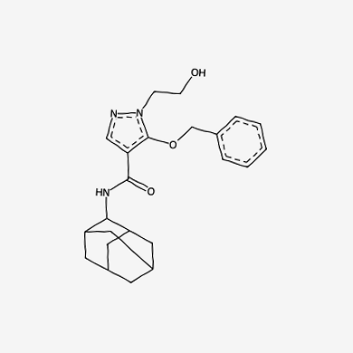 O=C(NC1C2CC3CC(C2)CC1C3)c1cnn(CCO)c1OCc1ccccc1